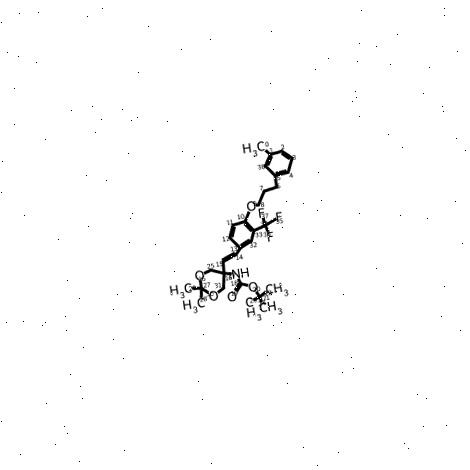 Cc1cccc(CCCOc2ccc(C=CC3(NC(=O)OC(C)(C)C)COC(C)(C)OC3)cc2C(F)(F)F)c1